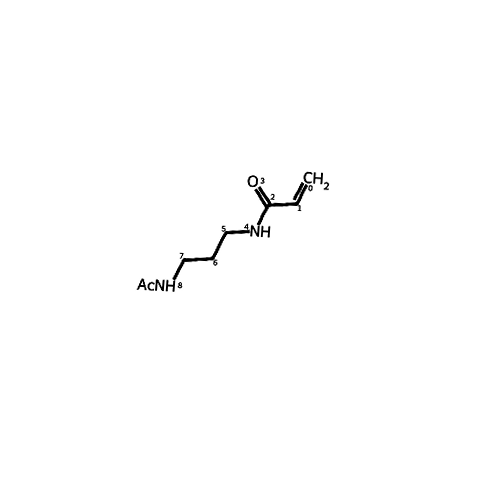 C=CC(=O)NCCCNC(C)=O